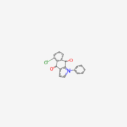 O=C1c2ccn(-c3ccccc3)c2C(=O)c2cccc(Cl)c21